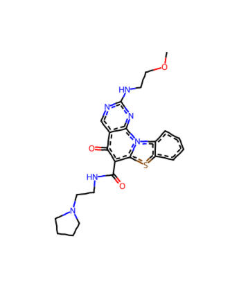 COCCNc1ncc2c(=O)c(C(=O)NCCN3CCCC3)c3sc4ccccc4n3c2n1